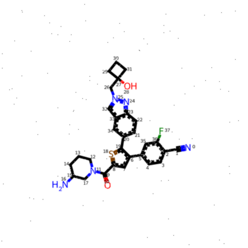 N#Cc1ccc(-c2cc(C(=O)N3CCCC(N)C3)sc2-c2ccc3nn(CC4(O)CCC4)cc3c2)cc1F